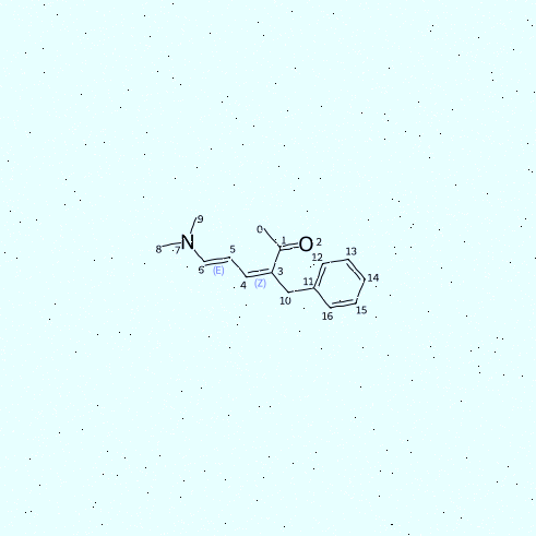 CC(=O)/C(=C\C=C\N(C)C)Cc1ccccc1